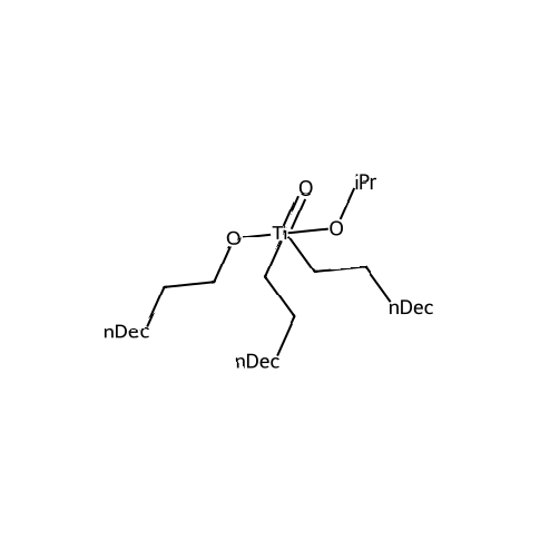 CCCCCCCCCCCC[O][Ti](=[O])([CH2]CCCCCCCCCCC)([CH2]CCCCCCCCCCC)[O]C(C)C